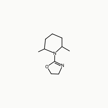 CC1CCCC(C)N1C1=NCCO1